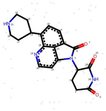 O=C1CCC(N2C(=O)c3ccc(C4CCNCC4)c4nccc2c34)C(=O)N1